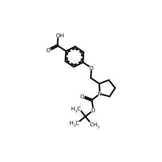 CC(C)(C)OC(=O)N1CCCC1COc1ccc(C(=O)O)cc1